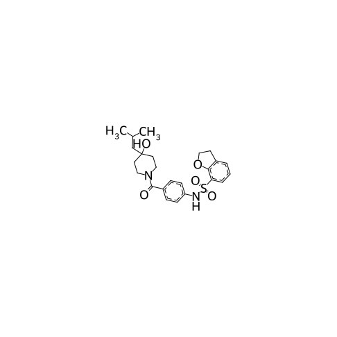 CC(C)CC1(O)CCN(C(=O)c2ccc(NS(=O)(=O)c3cccc4c3OCC4)cc2)CC1